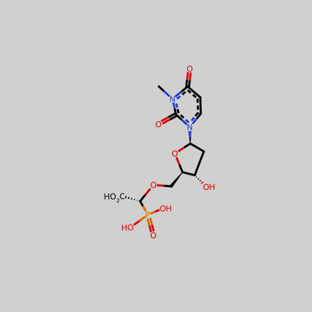 Cn1c(=O)ccn([C@H]2C[C@H](O)[C@@H](CO[C@@H](C(=O)O)P(=O)(O)O)O2)c1=O